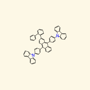 c1ccc(-c2ccccc2-c2ccc3c(-c4ccc(-n5c6ccccc6c6ccccc65)cc4)c4ccccc4c(-c4ccc(-n5c6ccccc6c6ccccc65)cc4)c3c2)cc1